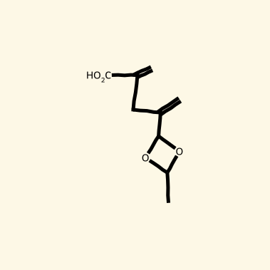 C=C(CC(=C)C1OC(C)O1)C(=O)O